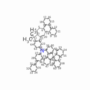 CC1(C)C2=CCc3c(c4ccccc4c4ccccc34)C=C2c2cc(N(c3ccc(-c4ccccc4)cc3)c3cccc4c3-c3ccccc3C43c4ccccc4-c4ccccc43)ccc21